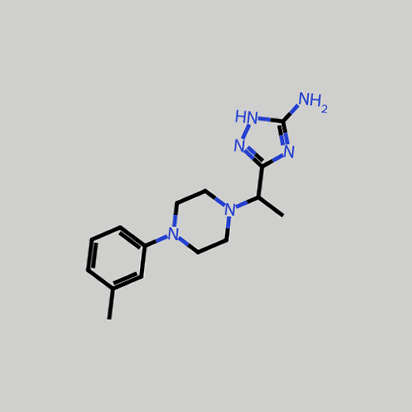 Cc1cccc(N2CCN(C(C)c3n[nH]c(N)n3)CC2)c1